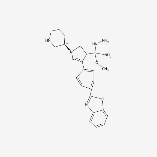 COC(N)(NN)C1CN([C@@H]2CCCNC2)N=C1c1ccc(-c2nc3ccccc3o2)cc1